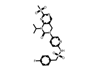 CC(C)N1C(=O)N(c2ccc(NS(=O)(=O)Cc3ccc(F)cc3)nc2)Cc2cnc(S(C)(=O)=O)nc21